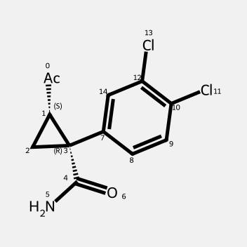 CC(=O)[C@H]1C[C@]1(C(N)=O)c1ccc(Cl)c(Cl)c1